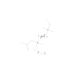 CCC(C)(C)N=NC(C)(CC(C)C)OO